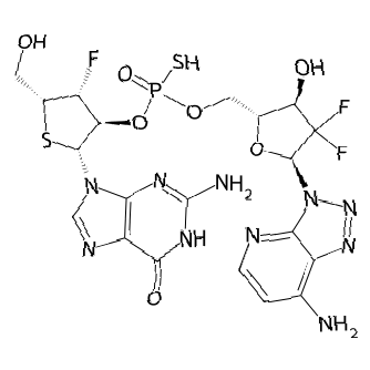 Nc1nc2c(ncn2[C@@H]2S[C@H](CO)[C@H](F)[C@H]2OP(=O)(S)OC[C@H]2O[C@H](n3nnc4c(N)ccnc43)C(F)(F)[C@@H]2O)c(=O)[nH]1